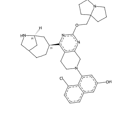 Oc1cc(N2CCc3c(nc(OCC45CCCN4CCC5)nc3[C@H]3CCC4CN[C@H](C4)C3)C2)c2c(Cl)cccc2c1